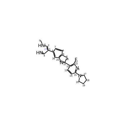 CN/C=C(\C=N)c1ccc2sc(-c3ccc(N4CCCC4)nc3F)nc2c1